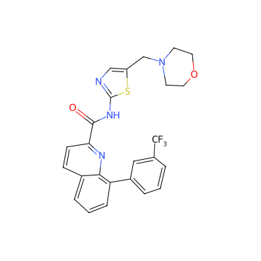 O=C(Nc1ncc(CN2CCOCC2)s1)c1ccc2cccc(-c3cccc(C(F)(F)F)c3)c2n1